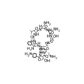 CC(C)C[C@@H]1NC(=O)[C@@H](Cc2ccccc2)NC(=O)[C@H](CCN)NC(=O)[C@@H](NC(=O)[C@H](CCN)NC(=O)[C@@H](NC(=O)c2ccc(N)cc2)C(C)O)CCNC(=O)[C@H](C(C)O)NC(=O)[C@H](CCN)NC(=O)[C@H](CCN)NC1=O